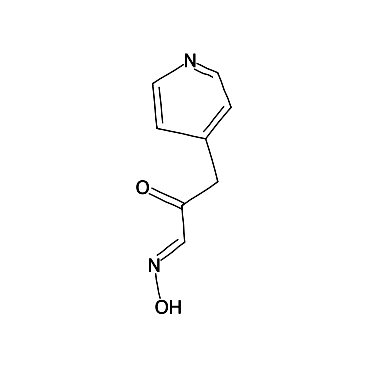 O=C(C=NO)Cc1ccncc1